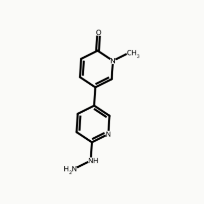 Cn1cc(-c2ccc(NN)nc2)ccc1=O